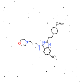 COc1ccc(C=Cc2nc(NCCCN3CCOCC3)c3ccc([N+](=O)[O-])cc3n2)cc1